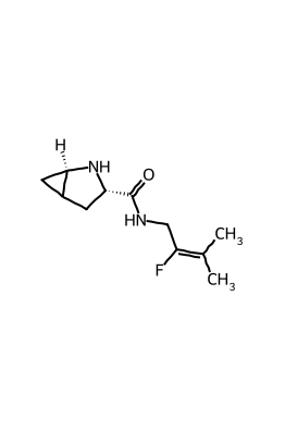 CC(C)=C(F)CNC(=O)[C@@H]1CC2C[C@H]2N1